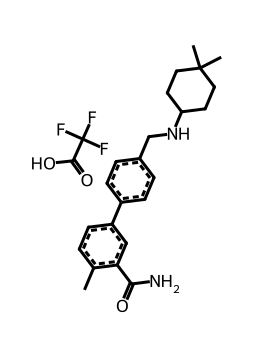 Cc1ccc(-c2ccc(CNC3CCC(C)(C)CC3)cc2)cc1C(N)=O.O=C(O)C(F)(F)F